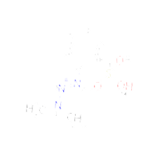 CN(C)/N=N/c1ccccc1S(=O)(=O)O